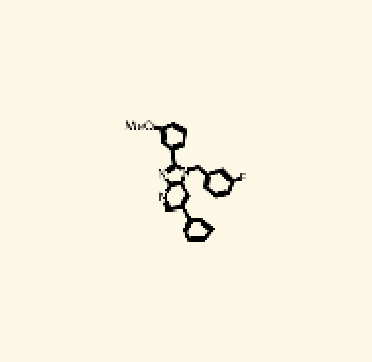 COc1cccc(-c2nc3ncc(-c4ccccc4)cc3n2Cc2cccc(F)c2)c1